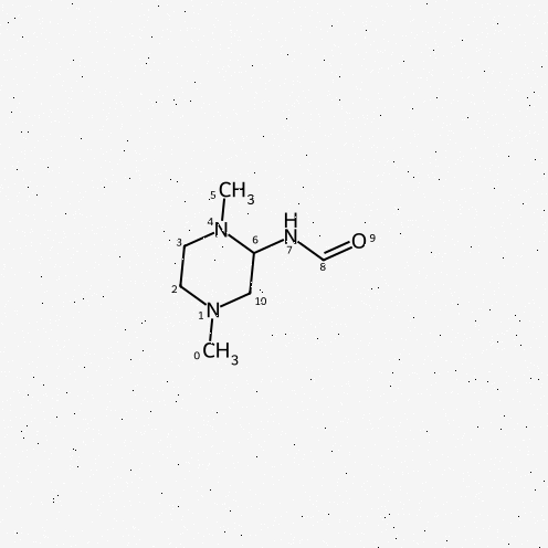 CN1CCN(C)C(NC=O)C1